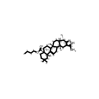 CCCCOC(=O)[C@]12CCC(C)(C)C[C@H]1C1=CCC3[C@@]4(C)Cc5c(n[nH]c5N)[C@@H](C)[C@@H]4CC[C@@]3(C)[C@]1(C)CC2